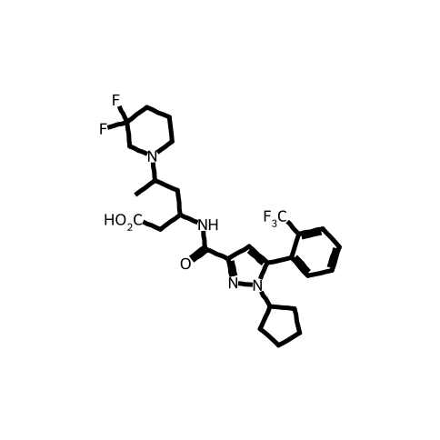 CC(CC(CC(=O)O)NC(=O)c1cc(-c2ccccc2C(F)(F)F)n(C2CCCC2)n1)N1CCCC(F)(F)C1